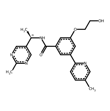 Cc1ccc(-c2cc(OCCO)cc(C(=O)N[C@H](C)c3cnc(C)nc3)c2)nc1